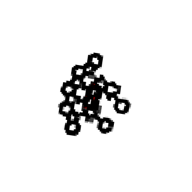 C1=CCCC(c2ncc3nc(-n4c5ccccc5c5ccc6c7ccc8c9ccc%10c%11ccccc%11n(-c%11nc(-c%12ccccc%12)nc(-c%12ccccc%12)n%11)c%10c9n(-c9ccccc9)c8c7n(-c7ccccc7)c6c54)nc(C4C=CC=CC4)c3n2)=C1